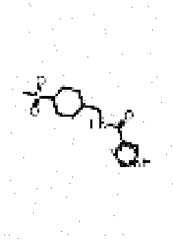 CS(=O)(=O)C1CCC(CNC(=O)c2c[nH]cn2)CC1